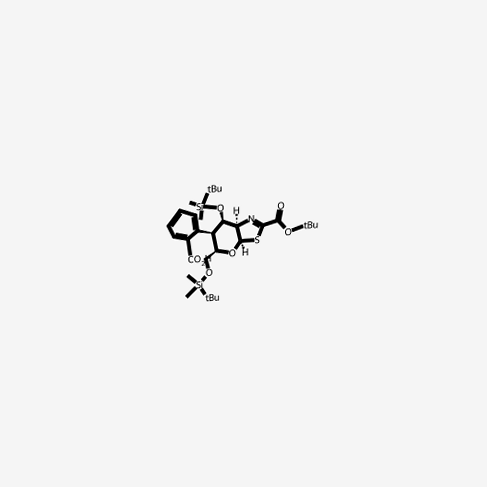 CC(C)(C)OC(=O)C1=N[C@@H]2[C@H](O[Si](C)(C)C(C)(C)C)[C@H](c3ccccc3C(=O)O)[C@H](CO[Si](C)(C)C(C)(C)C)O[C@@H]2S1